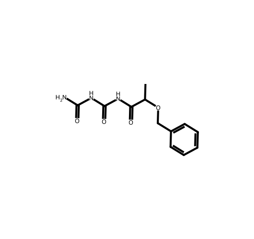 CC(OCc1ccccc1)C(=O)NC(=O)NC(N)=O